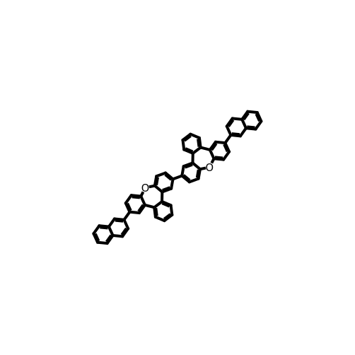 c1ccc2c(c1)-c1cc(-c3ccc4c(c3)-c3ccccc3-c3cc(-c5ccc6ccccc6c5)ccc3O4)ccc1Oc1ccc(-c3ccc4ccccc4c3)cc1-2